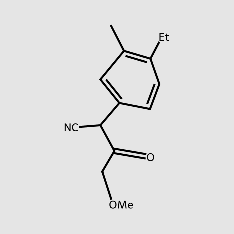 CCc1ccc(C(C#N)C(=O)COC)cc1C